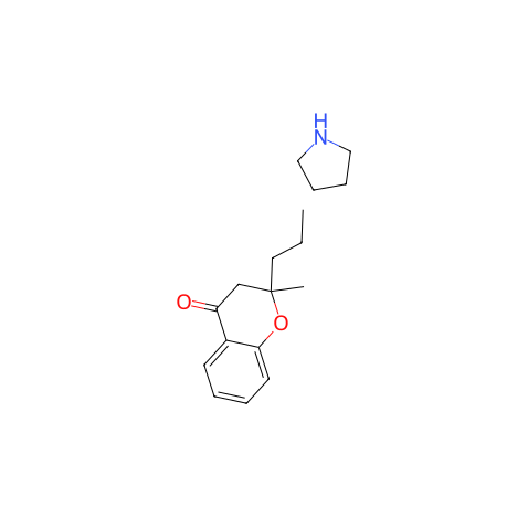 C1CCNC1.CCCC1(C)CC(=O)c2ccccc2O1